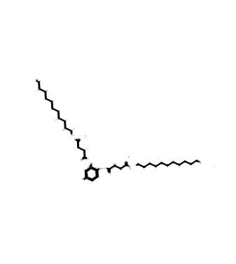 CCCCCCCCCCCCOC(=O)CCC(=O)Oc1ccc(C)cc1OC(=O)CCC(=O)OCCCCCCCCCCCC